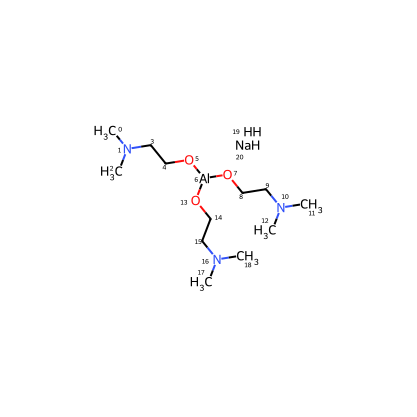 CN(C)CC[O][Al]([O]CCN(C)C)[O]CCN(C)C.[HH].[NaH]